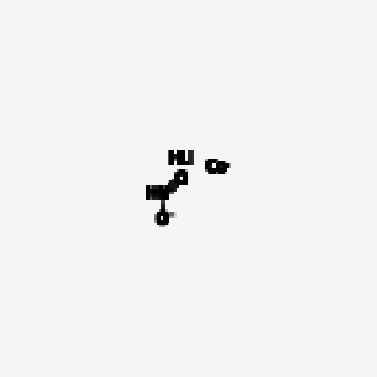 O=[NH+][O-].[Co].[LiH]